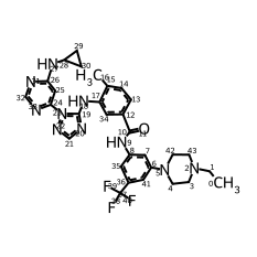 CCN1CCN(c2cc(NC(=O)c3ccc(C)c(Nc4ncnn4-c4cc(NC5CC5)ncn4)c3)cc(C(F)(F)F)c2)CC1